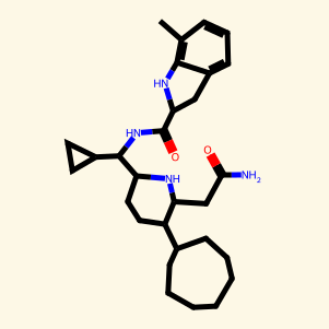 Cc1cccc2c1NC(C(=O)NC(C1CC1)C1CCC(C3CCCCCCC3)C(CC(N)=O)N1)C2